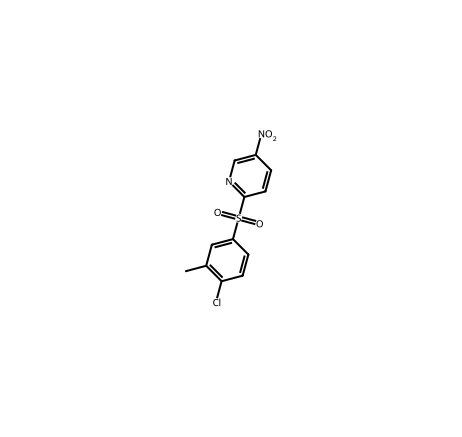 Cc1cc(S(=O)(=O)c2ccc([N+](=O)[O-])cn2)ccc1Cl